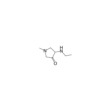 CCNC1CN(C)CC1=O